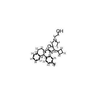 OCCN1CC[C@@]2(C1)OC(N1CCc3ccccc3[C@@H]1c1ccc(F)cc1)=NC2C1CCC1